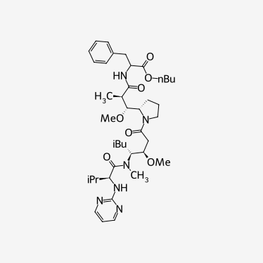 CCCCOC(=O)C(Cc1ccccc1)NC(=O)[C@H](C)[C@@H](OC)[C@@H]1CCCN1C(=O)C[C@@H](OC)[C@H]([C@@H](C)CC)N(C)C(=O)[C@@H](Nc1ncccn1)C(C)C